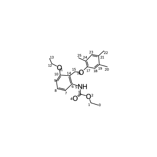 CCOC(=O)Nc1cccc(OCC)c1COc1cc(C)c(C)cc1C